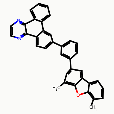 Cc1cccc2c1oc1c(C)cc(-c3cccc(-c4ccc5c(c4)c4ccccc4c4nccnc54)c3)cc12